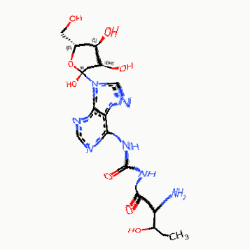 CC(O)C(N)C(=O)NC(=O)Nc1ncnc2c1ncn2[C@]1(O)O[C@H](CO)[C@@H](O)[C@H]1O